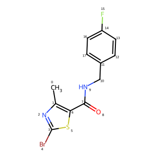 Cc1nc(Br)sc1C(=O)NCc1ccc(F)cc1